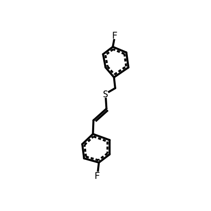 Fc1ccc(C=CSCc2ccc(F)cc2)cc1